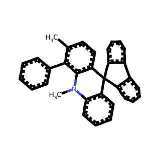 Cc1ccc2c(c1-c1ccccc1)N(C)c1ccccc1C21c2ccccc2-c2ccccc21